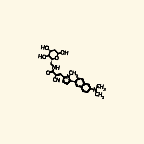 CN(C)c1ccc2cc(-c3ccc(/C=C(\C#N)C(=O)NC[C@H]4OC(O)C[C@@H](O)[C@@H]4O)n3C)ccc2c1